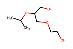 CC(C)OC(CO)COCCO